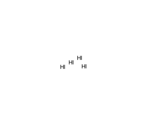 I.I.I.I